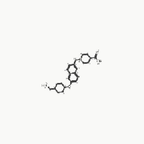 CCC1CCC(Oc2ccc3cc(CN4CCC(C(=O)O)CC4)ccc3c2)CC1